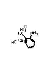 Cl.Cl.Cl.Nc1ccccc1S.[Ti]